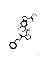 CC(=O)N1CCc2cc(Br)c(S(=O)(=O)N3CCCC3C(=O)OCc3ccccc3)cc21